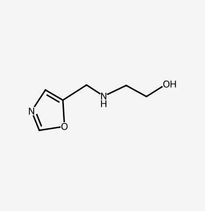 OCCNCc1cnco1